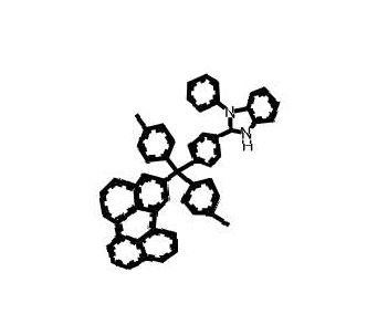 Cc1ccc(C(c2ccc(C)cc2)(c2ccc(C3Nc4ccccc4N3c3ccccc3)cc2)c2cc3cccc4c5cccc6cccc(c(c2)c34)c65)cc1